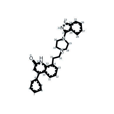 O=c1cc(-c2ccccc2)c2cccc(CCN3CCN(c4nsc5ccccc45)CC3)c2[nH]1